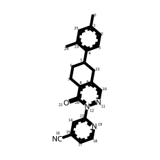 Cc1ccc(C2CCc3c(cnn(-c4cc(C#N)ccn4)c3=O)C2)c(C)c1